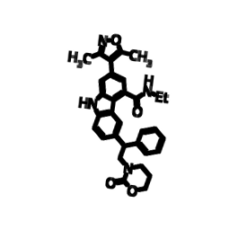 CCNC(=O)c1cc(-c2c(C)noc2C)cc2[nH]c3ccc(C(CN4CCCOC4=O)c4ccccc4)cc3c12